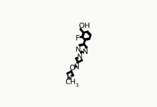 CN1CC(ON=C2CN(c3ncc(-c4cccc(CO)c4F)cn3)C2)C1